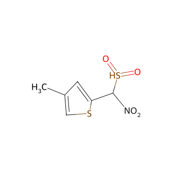 Cc1csc(C([N+](=O)[O-])[SH](=O)=O)c1